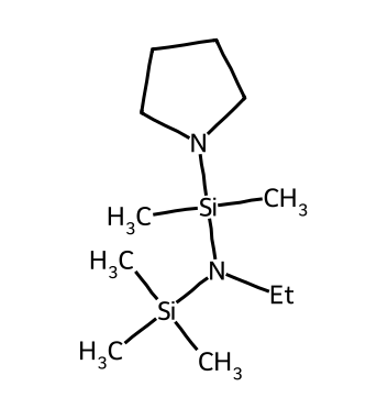 CCN([Si](C)(C)C)[Si](C)(C)N1CCCC1